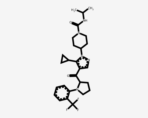 CC(C)NC(=O)N1CCC(n2ncc(C(=O)C3CCCN3c3ccccc3C(F)(F)F)c2C2CC2)CC1